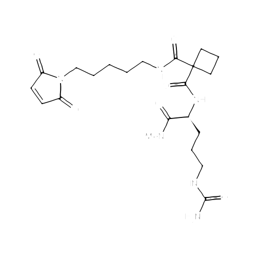 CNC(=O)[C@H](CCCNC(N)=O)NC(=O)C1(C(=O)NCCCCCN2C(=O)C=CC2=O)CCC1